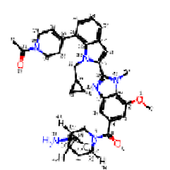 COc1cc(C(=O)N2C[C@H]3CC[C@@H]2C[C@@H]3N)cc2nc(-c3cc4cccc(C5=CCN(C(C)=O)CC5)c4n3CC3CC3)n(C)c12